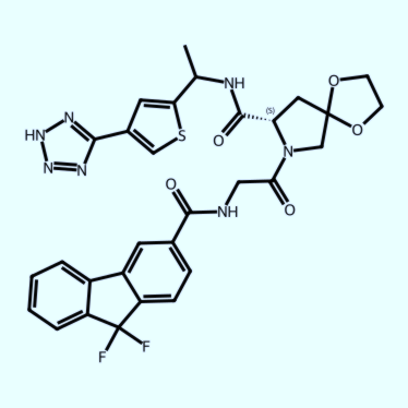 CC(NC(=O)[C@@H]1CC2(CN1C(=O)CNC(=O)c1ccc3c(c1)-c1ccccc1C3(F)F)OCCO2)c1cc(-c2nn[nH]n2)cs1